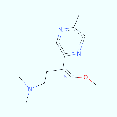 CO/C=C(/CCN(C)C)c1cnc(C)cn1